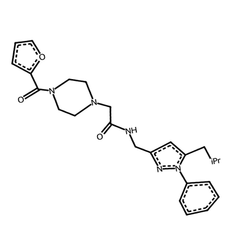 CC(C)Cc1cc(CNC(=O)CN2CCN(C(=O)c3ccco3)CC2)nn1-c1ccccc1